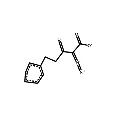 N=[N+]=C(C(=O)[O-])C(=O)CCc1ccccc1